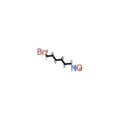 O=NCCCCCCBr